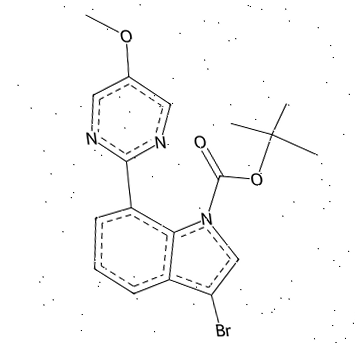 COc1cnc(-c2cccc3c(Br)cn(C(=O)OC(C)(C)C)c23)nc1